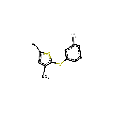 CC(=O)c1cc([N+](=O)[O-])c(Sc2cccc(C(F)(F)F)c2)s1